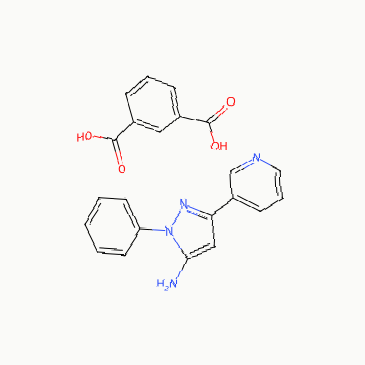 Nc1cc(-c2cccnc2)nn1-c1ccccc1.O=C(O)c1cccc(C(=O)O)c1